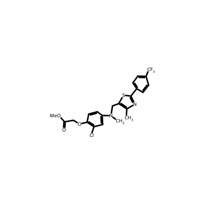 COC(=O)COc1ccc(N(C)Cc2sc(-c3ccc(C(F)(F)F)cc3)nc2C)cc1Cl